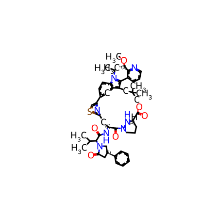 CCn1c(-c2cccnc2[C@H](C)OC)c2c3cc(ccc31)-c1csc(n1)C[C@H](NC(=O)C(C(C)C)N1C[C@@H](c3ccccc3)CC1=O)C(=O)N1CCC[C@H](N1)C(=O)OCC(C)(C)C2